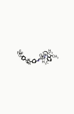 Cc1ccc(C(C)C)c(N2CCCS/C2=N\C(=O)N/C=C/c2ccc(-c3ncn(-c4ccc(OC(F)(F)F)cc4)n3)cc2)c1